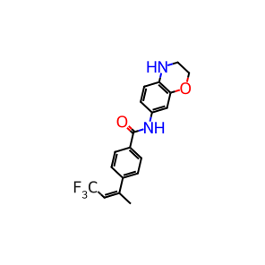 C/C(=C/C(F)(F)F)c1ccc(C(=O)Nc2ccc3c(c2)OCCN3)cc1